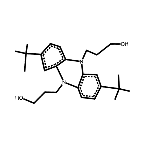 CC(C)(C)c1ccc2c(c1)N(CCCO)c1ccc(C(C)(C)C)cc1N2CCCO